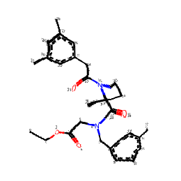 CCOC(=O)CN(Cc1cccc(C)c1)C(=O)C1(C)CCN1C(=O)Cc1cc(C)cc(C)c1